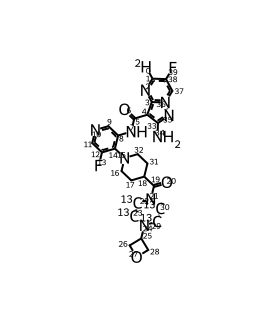 [2H]c1nc2c(C(=O)Nc3cncc(F)c3N3CCC(C(=O)N4[13CH2][13CH2]N(C5COC5)[13CH2][13CH2]4)CC3)c(N)nn2cc1F